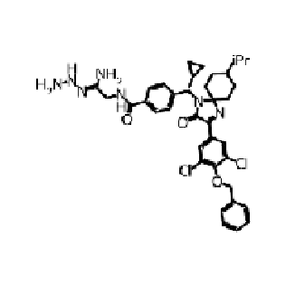 CC(C)C1CCC2(CC1)N=C(c1cc(Cl)c(OCc3ccccc3)c(Cl)c1)C(=O)N2[C@@H](c1ccc(C(=O)NC/C(N)=N/NN)cc1)C1CC1